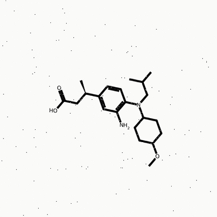 COC1CCC(N(CC(C)C)c2ccc([C@H](C)CC(=O)O)cc2N)CC1